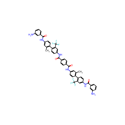 Cc1cc(NC(=O)c2cccc(N)c2)ccc1-c1ccc(NC(=O)c2ccc(C(=O)Nc3ccc(-c4ccc(NC(=O)c5cccc(N)c5)cc4C(F)(F)F)c(C)c3)cc2)cc1C(F)(F)F